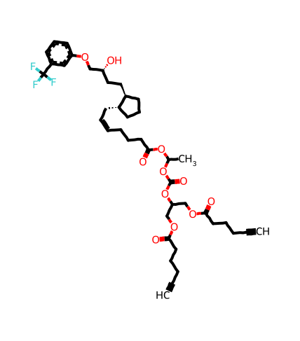 C#CCCCC(=O)OCC(COC(=O)CCCC#C)OC(=O)OC(C)OC(=O)CCC/C=C\C[C@H]1CCC[C@@H]1CC[C@@H](O)COc1cccc(C(F)(F)F)c1